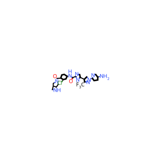 Cn1c(-c2cn(-c3ccc(N)cn3)nc2C(F)(F)F)cnc1C(=O)Nc1ccc(C(=O)N2CC3CNC3C2)c(Cl)c1